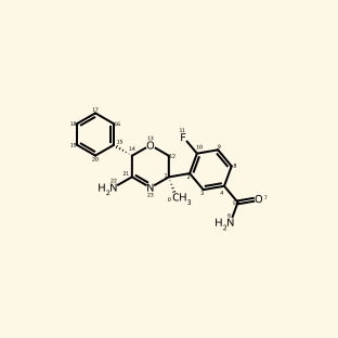 C[C@@]1(c2cc(C(N)=O)ccc2F)CO[C@@H](c2ccccc2)C(N)=N1